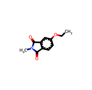 CCOc1ccc2c(c1)C(=O)N(C)C2=O